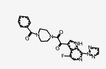 O=C(C(=O)N1CCN(C(=O)c2ccccc2)CC1)c1c[nH]c2c(-n3nccn3)ncc(F)c12